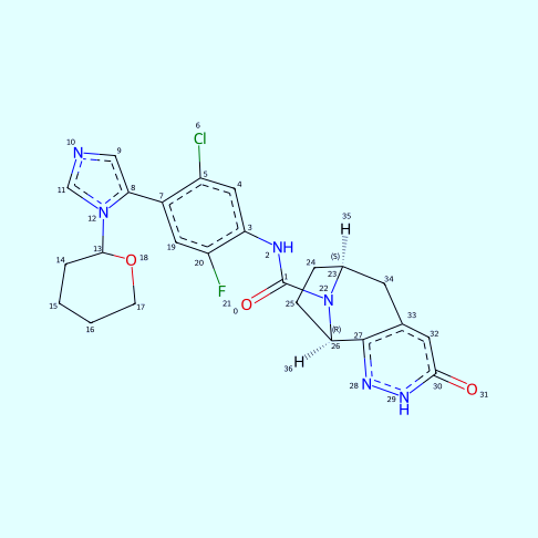 O=C(Nc1cc(Cl)c(-c2cncn2C2CCCCO2)cc1F)N1[C@H]2CC[C@@H]1c1n[nH]c(=O)cc1C2